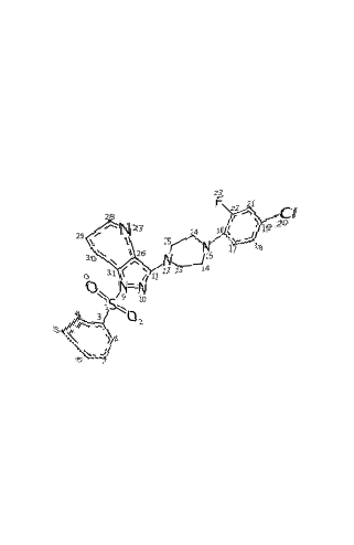 O=S(=O)(c1ccccc1)n1nc(N2CCN(c3ccc(Cl)cc3F)CC2)c2ncccc21